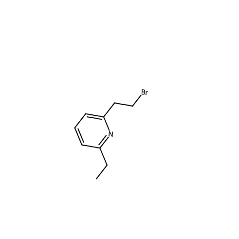 CCc1cccc(CCBr)n1